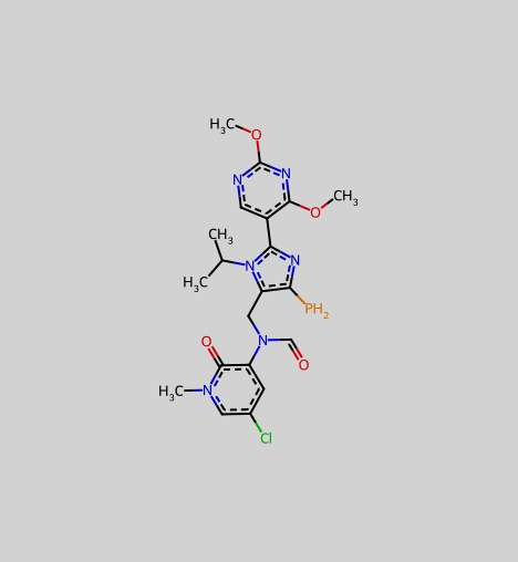 COc1ncc(-c2nc(P)c(CN(C=O)c3cc(Cl)cn(C)c3=O)n2C(C)C)c(OC)n1